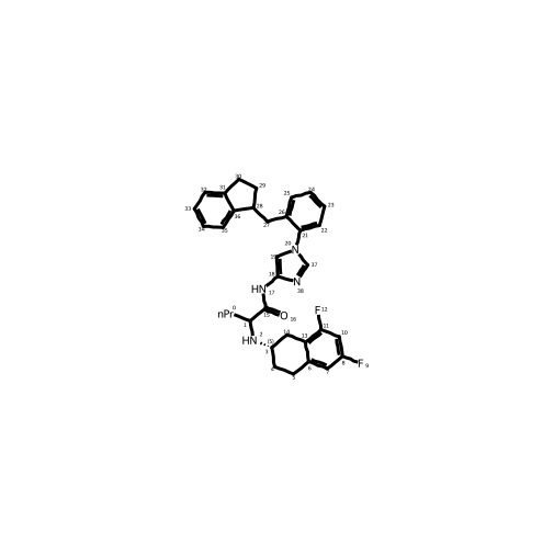 CCCC(N[C@H]1CCc2cc(F)cc(F)c2C1)C(=O)Nc1cn(-c2ccccc2CC2CCc3ccccc32)cn1